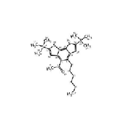 CCCCCCc1c(C(C)=O)c2cc(S(C)(C)C)sc2c2sc(S(C)(C)C)cc12